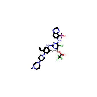 C=Cc1cc(Nc2ncc(Br)c(Nc3ccc4nccnc4c3P(C)(C)=O)n2)c(OC)cc1N1CCC(N2C=CCN(C)C=C2)CC1.O=C(O)C(F)(F)F